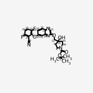 CC(C)(C)OC(=O)N1CCC(O)(COc2cnc3ccc(Oc4c(F)ccc(F)c4C#N)cc3n2)CC1